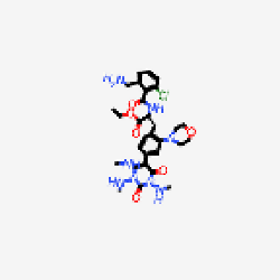 CCOC(=O)[C@H](Cc1ccc(-c2c(NC)n(NC)c(=O)n(NC)c2=O)cc1N1CCOCC1)NC(=O)c1c(Cl)cccc1CN